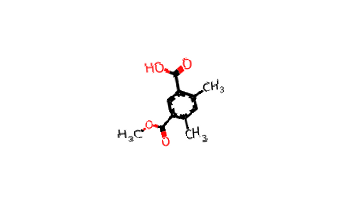 COC(=O)c1cc(C(=O)O)c(C)cc1C